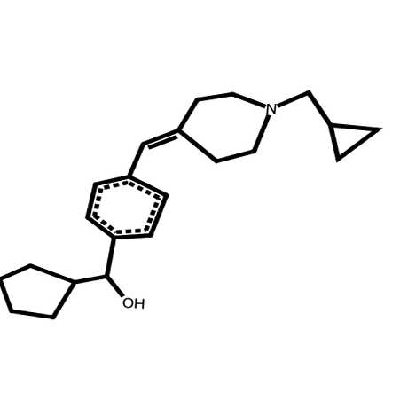 OC(c1ccc(C=C2CCN(CC3CC3)CC2)cc1)C1CCCC1